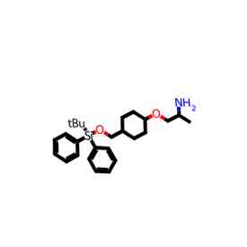 CC(N)COC1CCC(CO[Si](c2ccccc2)(c2ccccc2)C(C)(C)C)CC1